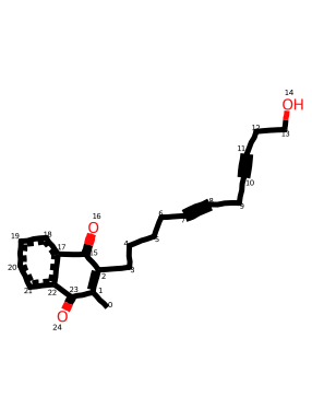 CC1=C(CCCCC#CCC#CCCO)C(=O)c2ccccc2C1=O